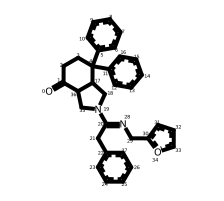 O=C1CCC(c2ccccc2)(c2ccccc2)C2CN(C(Cc3ccccc3)=NCc3ccco3)CC12